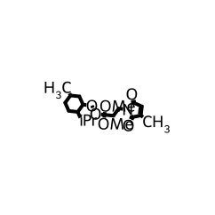 COC(CCN1C(=O)C=C(C)C1=O)(OC)OOC1CC(C)CCC1C(C)C